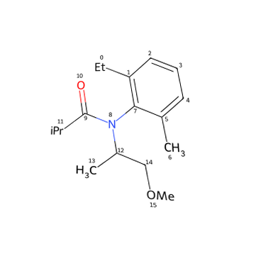 CCc1cccc(C)c1N(C(=O)C(C)C)C(C)COC